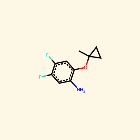 CC1(Oc2cc(F)c(F)cc2N)CC1